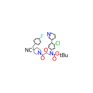 CC(C)(C)OC(=O)N1CC(C(=O)N2CCC(C#N)(Cc3ccc(F)cc3)CC2)Oc2cc(-c3cccnc3)c(Cl)cc21